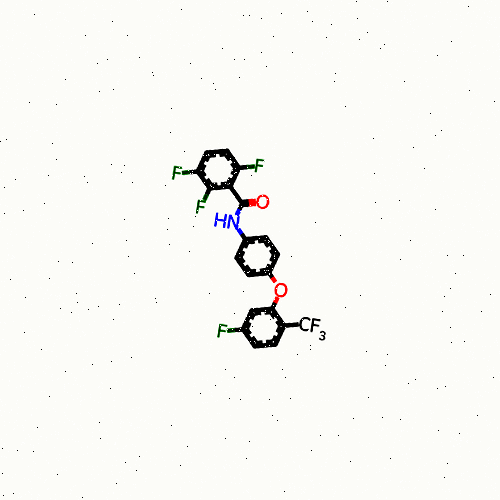 O=C(Nc1ccc(Oc2cc(F)ccc2C(F)(F)F)cc1)c1c(F)ccc(F)c1F